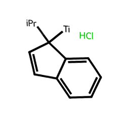 CC(C)[C]1([Ti])C=Cc2ccccc21.Cl